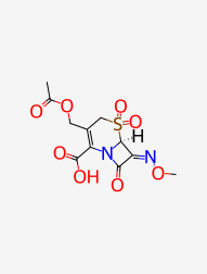 CON=C1C(=O)N2C(C(=O)O)=C(COC(C)=O)CS(=O)(=O)[C@@H]12